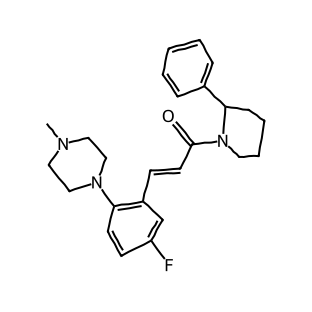 CN1CCN(c2ccc(F)cc2C=CC(=O)N2CCCCC2c2ccccc2)CC1